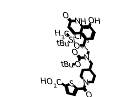 CC(C)(C)OC(=O)N(CC1CCN(C(=O)c2ccc(C(=O)O)s2)CC1)C[C@H](O[Si](C)(C)C(C)(C)C)c1ccc(O)c2[nH]c(=O)ccc12